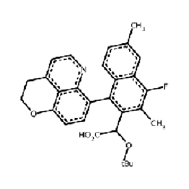 Cc1ccc2c(-c3ccc4c5c(ccnc35)CCO4)c(C(OC(C)(C)C)C(=O)O)c(C)c(F)c2c1